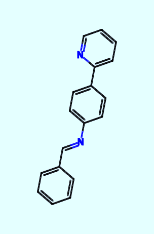 C(=Nc1ccc(-c2ccccn2)cc1)c1ccccc1